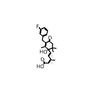 CC1=C(Cc2cccc(F)c2)C(=O)CC(C)(C)[C@]1(O)/C=C/C(C)=C\C(=O)O